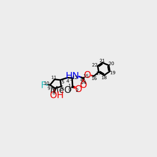 COC(=O)C(CC1CC(O)C(F)C1)NC(=O)OCc1ccccc1